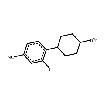 CCCC1[CH]CC(c2ccc(C#N)cc2F)CC1